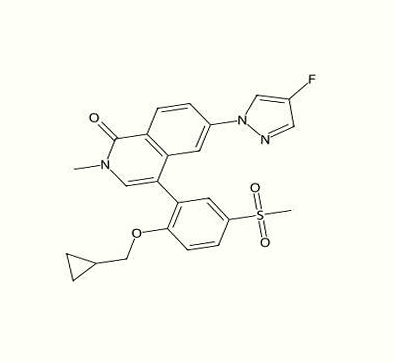 Cn1cc(-c2cc(S(C)(=O)=O)ccc2OCC2CC2)c2cc(-n3cc(F)cn3)ccc2c1=O